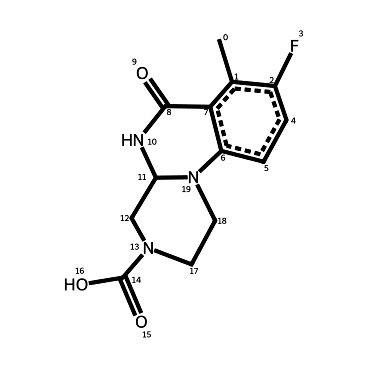 Cc1c(F)ccc2c1C(=O)NC1CN(C(=O)O)CCN21